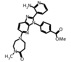 COC(=O)c1ccc(-n2c(-c3cccnc3N)nc3ccc(N4CCC(=O)N(C)CC4)nc32)cc1